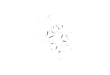 C=CC(=O)Nc1cc(Nc2ncc(C(=O)OC(C)C)c(N3CC(C)(C)c4nc(C)ccc43)n2)c(OC)cc1N(C)CCN(C)C